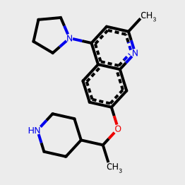 Cc1cc(N2CCCC2)c2ccc(OC(C)C3CCNCC3)cc2n1